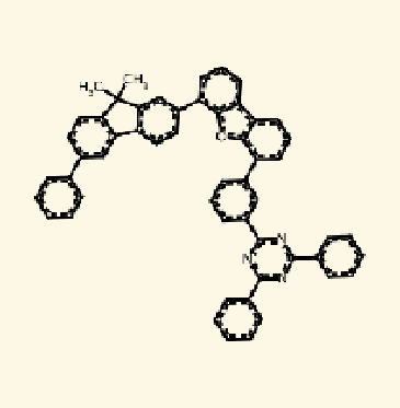 CC1(C)c2ccc(-c3ccccc3)cc2-c2ccc(-c3cccc4c3oc3c(-c5cccc(-c6nc(-c7ccccc7)nc(-c7ccccc7)n6)c5)cccc34)cc21